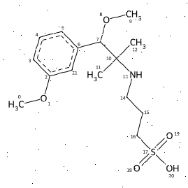 COc1cccc(C(OC)C(C)(C)NCCCS(=O)(=O)O)c1